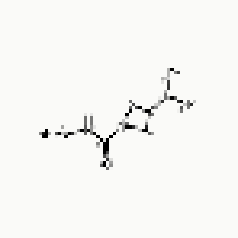 CCCCCCNC(=O)N1CC(N(C(C)C)C(C)C)C1